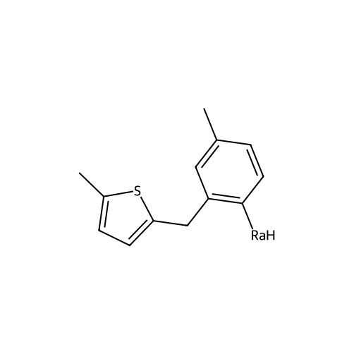 Cc1cc[c]([RaH])c(Cc2ccc(C)s2)c1